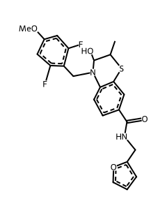 COc1cc(F)c(CN2c3ccc(C(=O)NCc4ccco4)cc3SC(C)C2O)c(F)c1